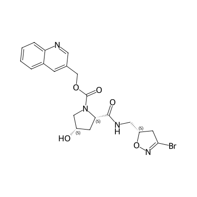 O=C(NC[C@@H]1CC(Br)=NO1)[C@@H]1C[C@H](O)CN1C(=O)OCc1cnc2ccccc2c1